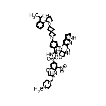 CC(C)c1ccccc1[C@@H]1CCCN1C1CC2(C1)CN(c1ccc(C(=O)NS(=O)(=O)c3cc4c(c([N+](=O)[O-])c3)N[C@H](CN3CCN(C)CC3)CO4)c(N3c4cc5cc[nH]c5nc4O[C@@H]4COC[C@H]43)c1)C2